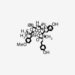 CC[C@@H](C)[C@H](OC(=O)[C@H](Cc1ccc(OC)cc1)N(C)C)C(=O)N[C@@H](C(=O)N(C)[C@@H](Cc1ccc(O)cc1)C(=O)N(C)[C@H](CCc1ccc(O)cc1)C(=O)OC)C(C)C